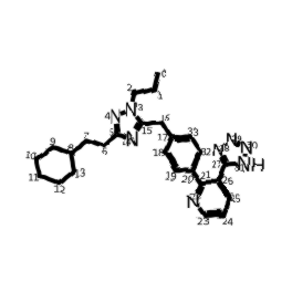 CCCn1nc(CCC2CCCCC2)nc1Cc1ccc(-c2ncccc2-c2nnn[nH]2)cc1